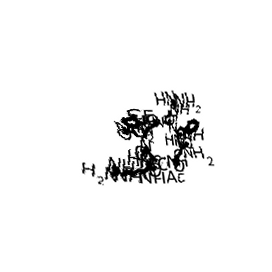 CC(=O)N[C@@H](CCCNC(=N)N)C(=O)N[C@H]1CCCNC(=O)CCC(C(N)=O)NC(=O)[C@H](Cc2c[nH]c3ccccc23)NC(=O)[C@H](CCCNC(=N)N)NC(=O)[C@@H](Cc2ccccc2C(F)(F)F)NC(=O)[C@H](CCC(N)=O)NC1=O